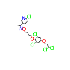 CC(=NOCCCCOc1c(Cl)cc(OCC=C(Cl)Cl)cc1Cl)c1ccc(Cl)nc1